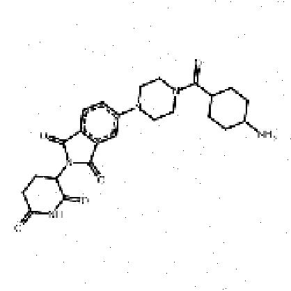 NC1CCC(C(=O)N2CCN(c3ccc4c(c3)C(=O)N(C3CCC(=O)NC3=O)C4=O)CC2)CC1